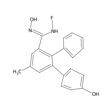 Cc1cc(C(=NO)NF)c(-c2ccccc2)c(-c2ccc(O)cc2)c1